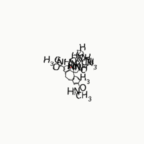 CNC(=O)c1ccc2c(c1)CCc1cc(C(=O)NC)ccc1C2(C[C@@H](C)NCC(=O)N1[C@H](C#N)C[C@@H]2C[C@@H]21)c1nnc(C(C)C)[nH]1